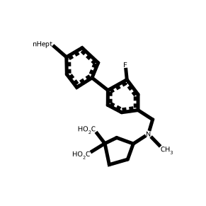 CCCCCCCc1ccc(-c2ccc(CN(C)C3CCC(C(=O)O)(C(=O)O)C3)cc2F)cc1